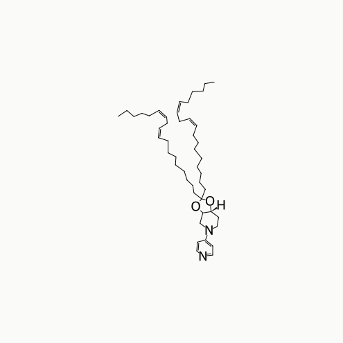 CCCCC/C=C\C/C=C\CCCCCCCCC1(CCCCCCCC/C=C\C/C=C\CCCCC)OC2CN(c3ccncc3)CC[C@H]2O1